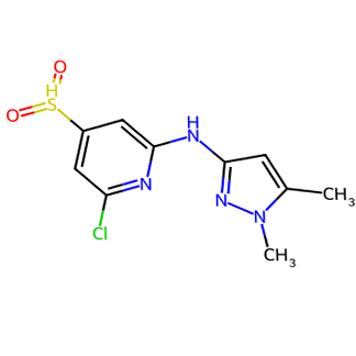 Cc1cc(Nc2cc([SH](=O)=O)cc(Cl)n2)nn1C